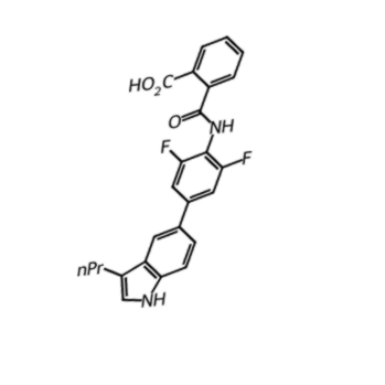 CCCc1c[nH]c2ccc(-c3cc(F)c(NC(=O)c4ccccc4C(=O)O)c(F)c3)cc12